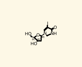 O=C1NCN([C@H]2C[C@@H](O)[C@@H](CO)O2)C=C1I